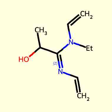 C=C/N=C(/C(C)O)N(C=C)CC